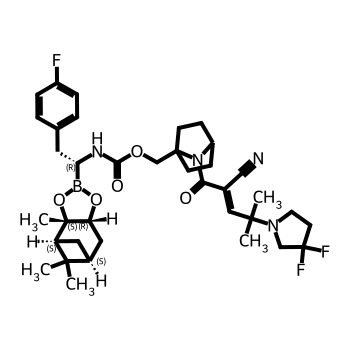 CC1(C)[C@@H]2C[C@H]3OB([C@H](Cc4ccc(F)cc4)NC(=O)OCC45CCC(CC4)N5C(=O)C(C#N)=CC(C)(C)N4CCC(F)(F)C4)O[C@@]3(C)[C@H]1C2